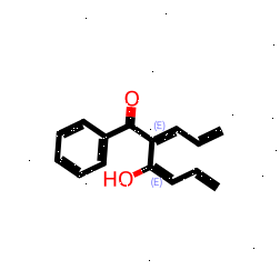 C=C/C=C(O)\C(=C/C=C)C(=O)c1ccccc1